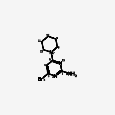 Nc1nc(Br)cc(N2CCCCC2)n1